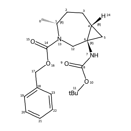 C[C@@H]1CC[C@@H]2C[C@]2(NC(=O)OC(C)(C)C)CN1C(=O)OCc1ccccc1